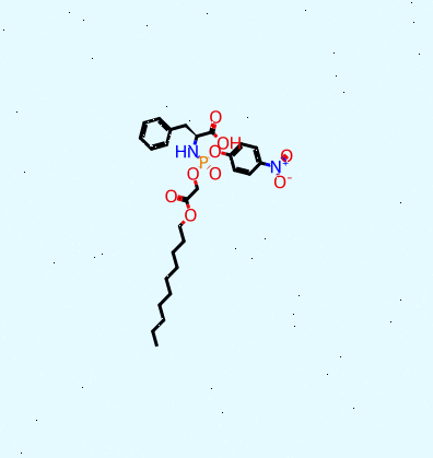 CCCCCCCCCCOC(=O)COP(=O)(N[C@@H](Cc1ccccc1)C(=O)O)Oc1ccc([N+](=O)[O-])cc1